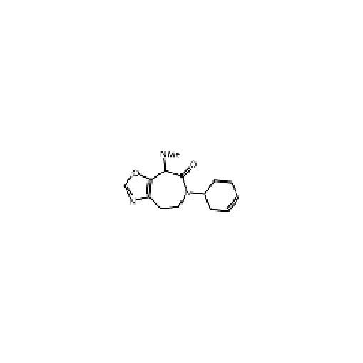 CNC1C(=O)N(C2CC=CCC2)CCc2ncoc21